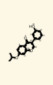 CC(C)Oc1ccc2c(=O)c(-c3cccc(O)c3)coc2c1